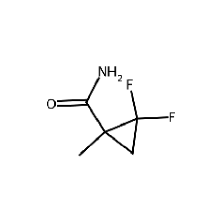 CC1(C(N)=O)CC1(F)F